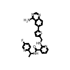 CC(NC(=O)c1cccnc1NCc1ccc(-c2ccc3ncnc(N)c3c2)s1)c1ccc(F)cn1